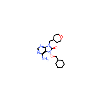 Nc1ncnc2c1n(OCC1CCCCC1)c(=O)n2CC1CCOCC1